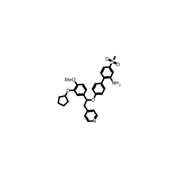 COc1ccc(C(Cc2ccncc2)Oc2ccc(-c3ccc(S(C)(=O)=O)cc3N)cc2)cc1OC1CCCC1